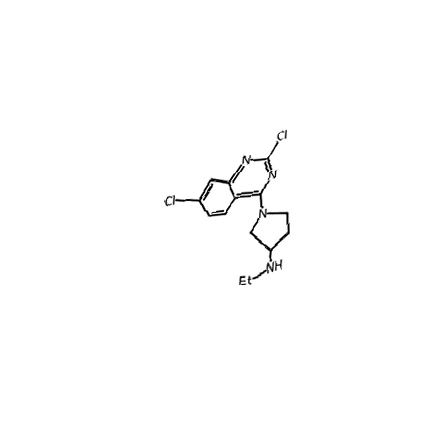 CCNC1CCN(c2nc(Cl)nc3cc(Cl)ccc23)C1